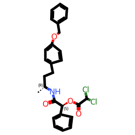 C[C@H](CCc1ccc(OCc2ccccc2)cc1)NC(=O)[C@@H](OC(=O)C(Cl)Cl)c1ccccc1